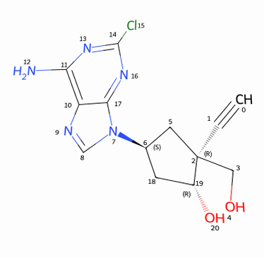 C#C[C@@]1(CO)C[C@H](n2cnc3c(N)nc(Cl)nc32)C[C@H]1O